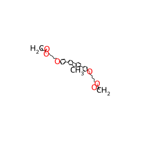 C=CC(=O)OCCCCCOc1ccc(-c2ccc3c(c2)C(C)c2cc(-c4ccc(OCCCCCOC(=O)C=C)cc4)ccc2-3)cc1